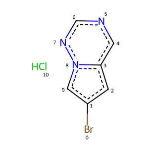 Brc1cc2cncnn2c1.Cl